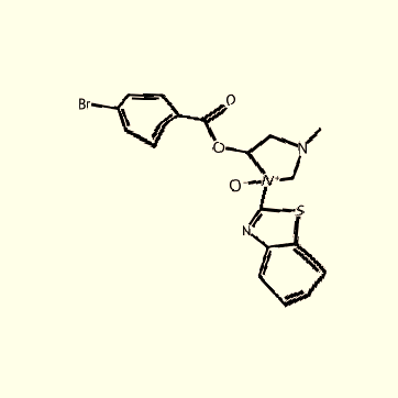 CN1CC(OC(=O)c2ccc(Br)cc2)[N+]([O-])(c2nc3ccccc3s2)C1